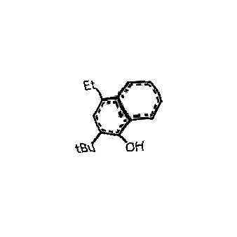 CCc1cc(C(C)(C)C)c(O)c2ccccc12